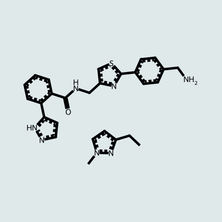 CCc1ccn(C)n1.NCc1ccc(-c2nc(CNC(=O)c3ccccc3-c3ccn[nH]3)cs2)cc1